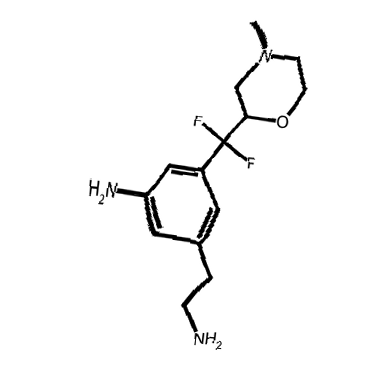 CN1CCOC(C(F)(F)c2cc(N)cc(CCN)c2)C1